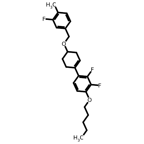 CCCCCOc1ccc(C2=CCC(OCc3ccc(C)c(F)c3)CC2)c(F)c1F